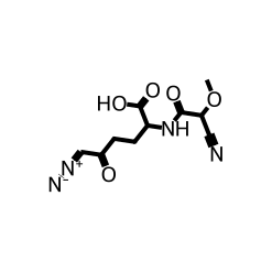 COC(C#N)C(=O)NC(CCC(=O)C=[N+]=[N-])C(=O)O